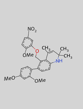 COc1ccc(-c2ccc3c(c2COc2cc([N+](=O)[O-])ccc2OC)C(C)=CC(C)(C)N3)c(OC)c1